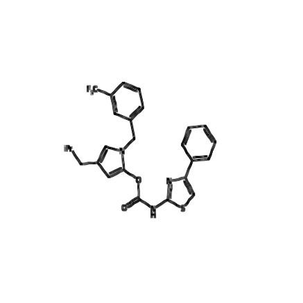 CC(C)Cc1cc(OC(=O)Nc2nc(-c3ccccc3)cs2)n(Cc2cccc(C(F)(F)F)c2)c1